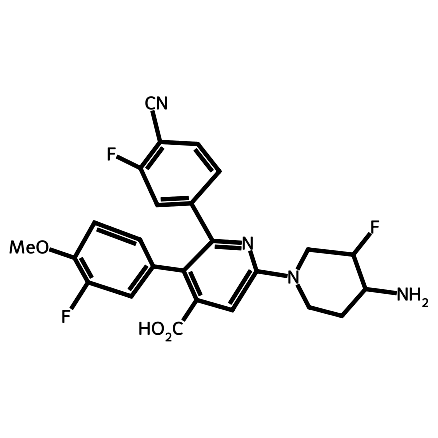 COc1ccc(-c2c(C(=O)O)cc(N3CCC(N)C(F)C3)nc2-c2ccc(C#N)c(F)c2)cc1F